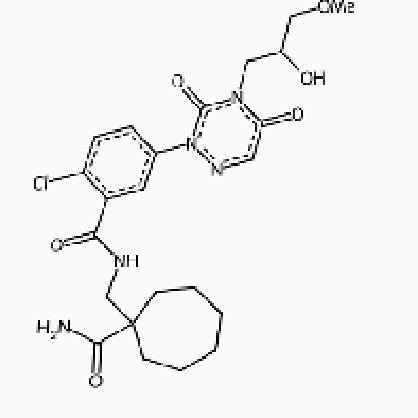 COCC(O)Cn1c(=O)cnn(-c2ccc(Cl)c(C(=O)NCC3(C(N)=O)CCCCCC3)c2)c1=O